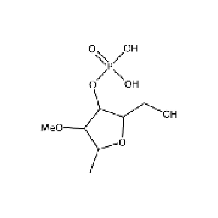 COC1C(C)OC(CO)C1OP(=O)(O)O